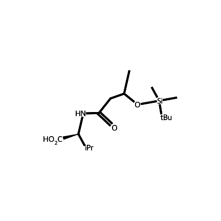 CC(CC(=O)N[C@H](C(=O)O)C(C)C)O[Si](C)(C)C(C)(C)C